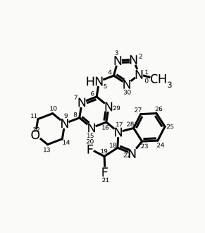 Cn1nnc(Nc2nc(N3CCOCC3)nc(-n3c(C(F)F)nc4ccccc43)n2)n1